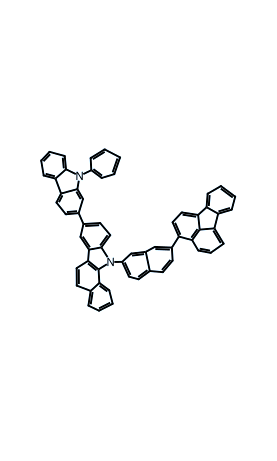 c1ccc(-n2c3ccccc3c3ccc(-c4ccc5c(c4)c4ccc6ccccc6c4n5-c4ccc5ccc(-c6ccc7c8c(cccc68)-c6ccccc6-7)cc5c4)cc32)cc1